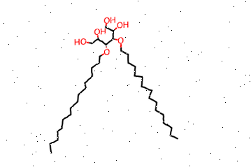 CCCCCCCCCCCCCCCCO[C@@H]([C@H](OCCCCCCCCCCCCCCCC)[C@H](O)CO)[C@H](O)CO